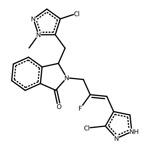 Cn1ncc(Cl)c1CC1c2ccccc2C(=O)N1C/C(F)=C/c1c[nH]nc1Cl